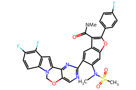 CNC(=O)c1c(-c2ccc(F)cc2)oc2cc(N(C)S(C)(=O)=O)c(-c3ncc4c(n3)-c3cc5c(F)c(F)ccc5n3CO4)cc12